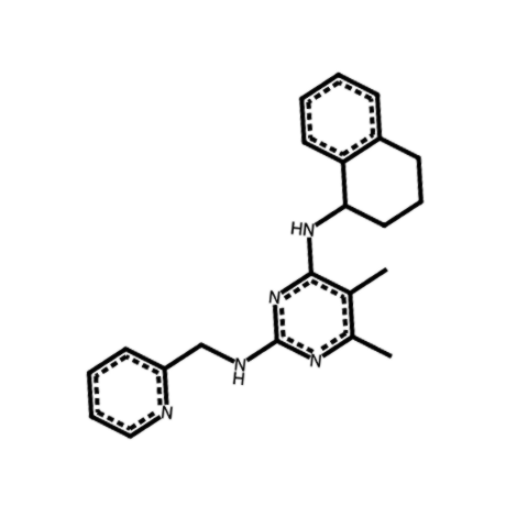 Cc1nc(NCc2ccccn2)nc(NC2CCCc3ccccc32)c1C